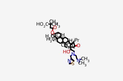 CC(C)C1=C2[C@H]3CC[C@@H]4[C@@]5(C)CCC(OC(=O)CC(C)(C)C(=O)O)C(C)(C)[C@@H]5CC[C@@]4(C)[C@]3(C)CC[C@@]2([C@@H](O)CN(CCN(C)C)Cc2cscn2)CC1=O